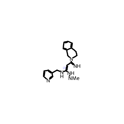 CNN/C(=C\C(=N)N1CCc2ccccc2C1)NCc1cccnc1